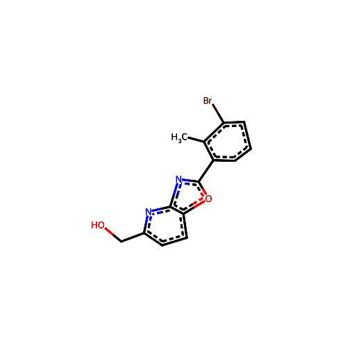 Cc1c(Br)cccc1-c1nc2nc(CO)ccc2o1